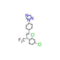 FC(F)(F)C(/C=C/c1ccc(-n2cncn2)cc1)c1ccc(Cl)cc1Cl